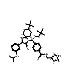 CC(C)Oc1cccc(C2=NC3(CCC(C(C)(C)C)CC3)N([C@H](CCC(C)(C)C)c3ccc(C(=O)NCc4nn[nH]n4)cc3)C2=O)c1